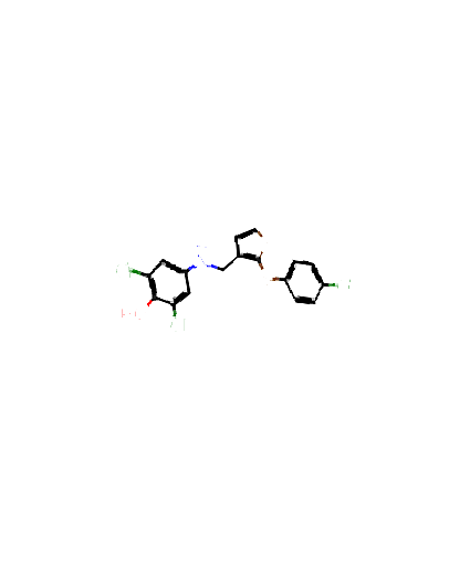 Oc1c(Cl)cc(NCc2ccsc2Sc2ccc(Cl)cc2)cc1Cl